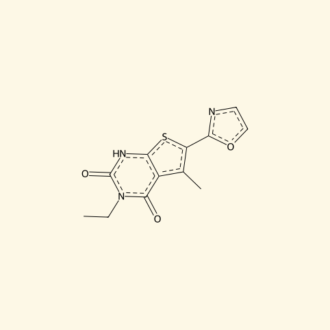 CCn1c(=O)[nH]c2sc(-c3ncco3)c(C)c2c1=O